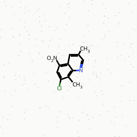 Cc1cnc2c(C)c(Cl)cc([N+](=O)[O-])c2c1